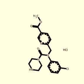 COC(=O)c1ccc(CN(C(=O)N2CCNCC2)c2cccc(Cl)c2)nc1.Cl